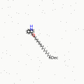 CCCCCCCCCCCCCCCCCCCCCCCCCCCCOCC1CCNc2ccccc21